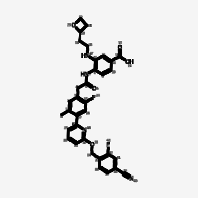 Cc1cc(CC(=O)Nc2ccc(C(=O)O)cc2NCC[C@@H]2CCO2)c(F)cc1-c1cccc(OCc2ccc(C#N)cc2F)n1